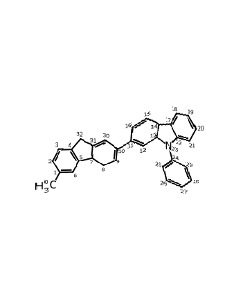 Cc1ccc2c(c1)C1CC=C(C3=CC4C(C=C3)c3ccccc3N4c3ccccc3)C=C1C2